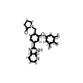 O=C1CCCN1Cc1ccc(-c2nc3cccnc3[nH]2)cc1Oc1cc(F)c(F)c(F)c1